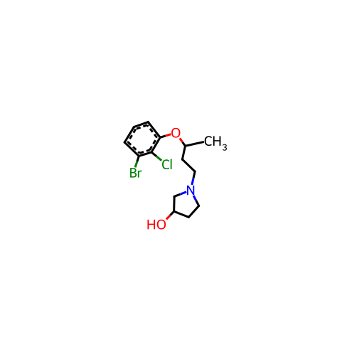 CC(CCN1CCC(O)C1)Oc1cccc(Br)c1Cl